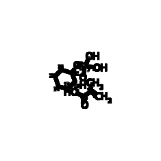 C=C(C)C(=O)O.O[Si](O)(O)OC1CCCCC1